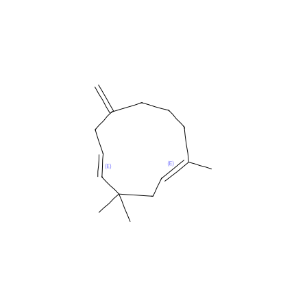 C=C1C/C=C/C(C)(C)C/C=C(\C)CCC1